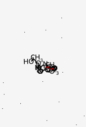 CC(O)CCOc1nn2cccc(-c3ccc(N4CC5CC(C4)N5C(=O)OC(C)(C)C)nc3)c2c1C#N